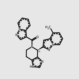 Cc1cccn2nc([C@H]3c4nc[nH]c4CCN3C(=O)c3cnn4ccccc34)cc12